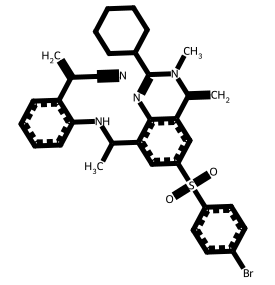 C=C(C#N)c1ccccc1NC(C)c1cc(S(=O)(=O)c2ccc(Br)cc2)cc2c1N=C(C1CCCCC1)N(C)C2=C